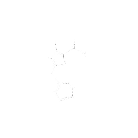 Cc1nc(Cc2ccccc2)oc1C(N)=O